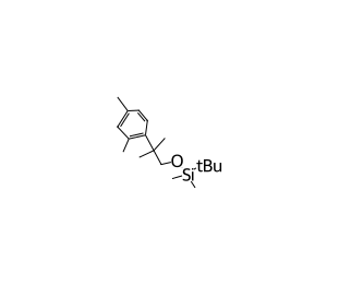 Cc1ccc(C(C)(C)CO[Si](C)(C)C(C)(C)C)c(C)c1